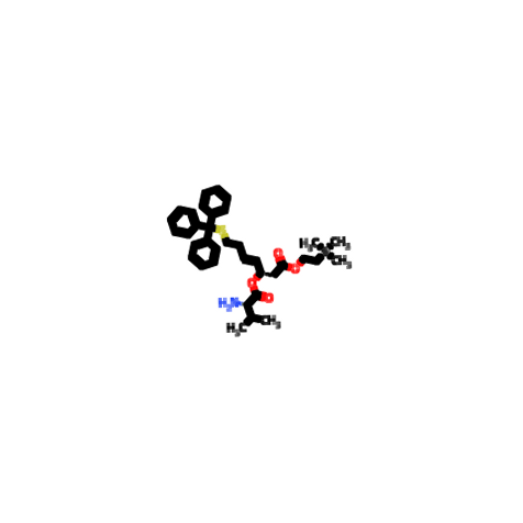 CC(C)[C@H](N)C(=O)O[C@H](/C=C/CCSC(c1ccccc1)(c1ccccc1)c1ccccc1)CC(=O)OCC[Si](C)(C)C